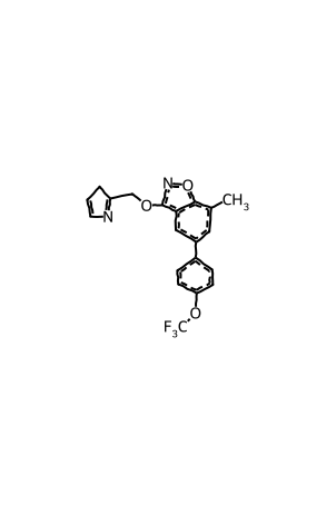 Cc1cc(-c2ccc(OC(F)(F)F)cc2)cc2c(OCC3=NC=CC3)noc12